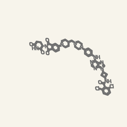 O=C1CC[C@H](N2C(=O)c3ccc(N4CCC(CN5CCN(c6ccc(Nc7ncnc8c7ncn8C7CC(NC(=O)c8c(Cl)cccc8Cl)C7)cc6)CC5)CC4)cc3C2=O)C(=O)N1